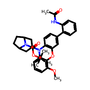 COc1cccc2c1Oc1cc(-c3ccccc3NC(C)=O)ccc1N2C1CC2CCC(C1)N2C(=O)OC(C)(C)C